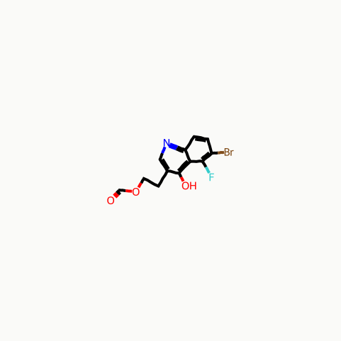 O=COCCc1cnc2ccc(Br)c(F)c2c1O